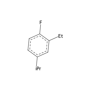 [CH2]C(C)c1ccc(F)c(CC)c1